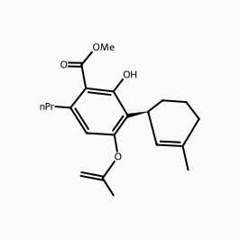 C=C(C)Oc1cc(CCC)c(C(=O)OC)c(O)c1[C@@H]1C=C(C)CCC1